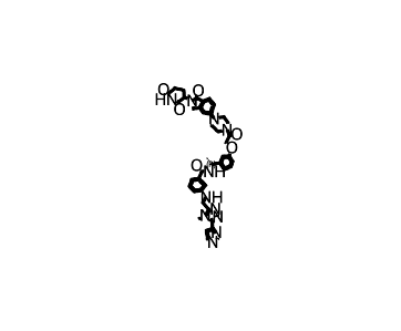 C[C@@H](NC(=O)c1cccc(NCc2nnc(-c3ccncn3)n2C)c1)c1cccc(OCC(=O)N2CCN(c3ccc4c(c3)CN(C3CCC(=O)NC3=O)C4=O)CC2)c1